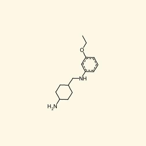 CCOc1cccc(NCC2CCC(N)CC2)c1